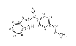 CCOc1ccc(C(=O)c2cc3ccccc3[nH]2)cc1